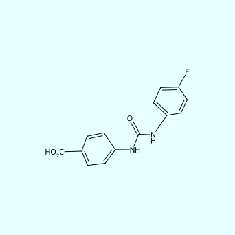 O=C(Nc1ccc(F)cc1)Nc1ccc(C(=O)O)cc1